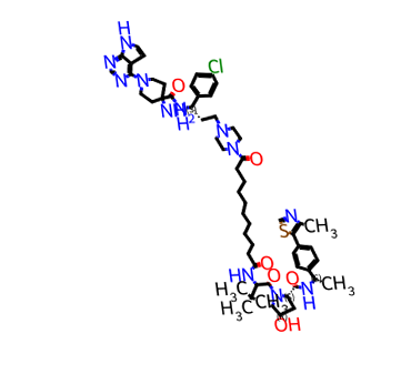 Cc1ncsc1-c1ccc([C@H](C)NC(=O)[C@@H]2C[C@@H](O)CN2C(=O)C(NC(=O)CCCCCCCCCC(=O)N2CCN(CC[C@H](NC(=O)C3(N)CCN(c4ncnc5[nH]ccc45)CC3)c3ccc(Cl)cc3)CC2)C(C)(C)C)cc1